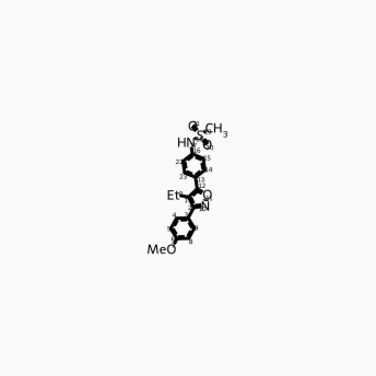 CCc1c(-c2ccc(OC)cc2)noc1-c1ccc(NS(C)(=O)=O)cc1